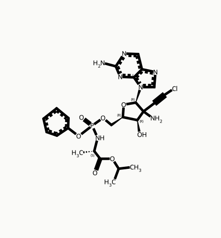 CC(C)OC(=O)[C@H](C)NP(=O)(OC[C@H]1O[C@@H](n2cnc3cnc(N)nc32)C(N)(C#CCl)[C@H]1O)Oc1ccccc1